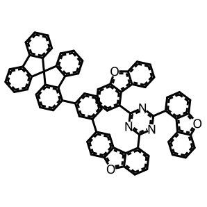 c1cc(-c2ccc3oc4cccc(-c5nc(-c6cccc7oc8ccccc8c67)nc(-c6cccc7oc8ccccc8c67)n5)c4c3c2)cc(-c2cccc3c2-c2ccccc2C32c3ccccc3-c3ccccc32)c1